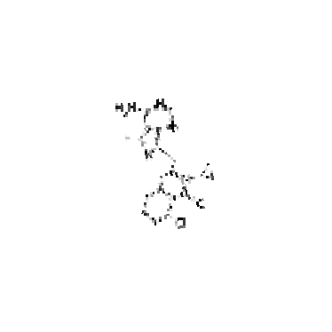 Nc1ncnc2c1c(I)nn2Cc1cc2cccc(Cl)c2c(=O)n1C1CC1